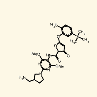 COc1nc(N2CCC(CN)C2)nc(OC)c1NC(=O)C1OC(Oc2cc([Si](C)(C)C)ccc2C)=CC1=O